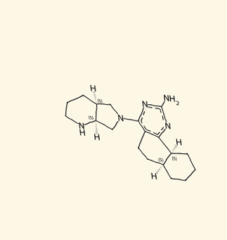 Nc1nc2c(c(N3C[C@@H]4CCCN[C@@H]4C3)n1)CC[C@@H]1CCCC[C@H]21